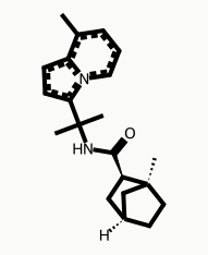 Cc1cccn2c(C(C)(C)NC(=O)[C@@H]3C[C@@H]4CC[C@@]3(C)C4)ccc12